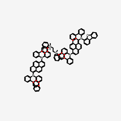 C[SiH](CC[Si](C)(C)c1ccc(-c2ccccc2N(c2ccc3ccc4c(N(c5ccccc5-c5ccccc5)c5cccc6c5oc5ccccc56)ccc5ccc2c3c54)c2cccc3c2oc2ccccc23)cc1)c1ccc(-c2ccccc2N(c2ccc3ccc4c(N(c5ccccc5-c5ccccc5)c5cccc6c5oc5ccccc56)ccc5ccc2c3c54)c2cccc3c2oc2ccccc23)cc1